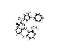 [CH2]c1cccc(CN2CC[C@H](NS(=O)(=O)c3cc(Cl)c(-c4cccnc4)s3)C2=O)c1